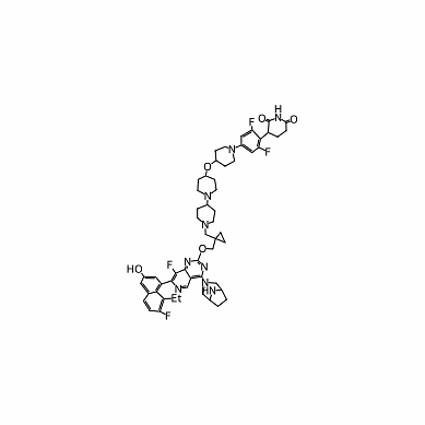 CCc1c(F)ccc2cc(O)cc(-c3ncc4c(N5CC6CCC(C5)N6)nc(OCC5(CN6CCC(N7CCC(OC8CCN(c9cc(F)c(C%10CCC(=O)NC%10=O)c(F)c9)CC8)CC7)CC6)CC5)nc4c3F)c12